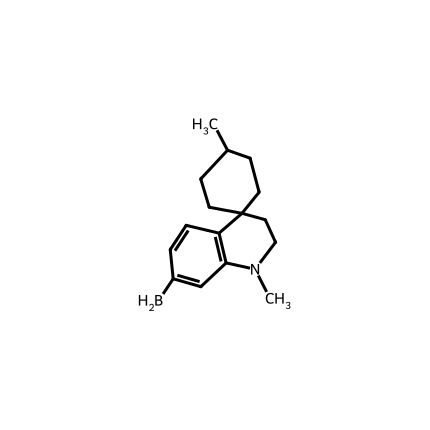 Bc1ccc2c(c1)N(C)CCC21CCC(C)CC1